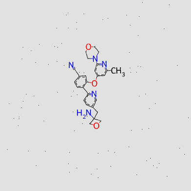 Cc1cc(Oc2cc(C#N)ccc2-c2ccc(CC3(N)COC3)cn2)cc(N2CCOCC2)n1